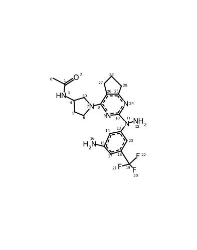 CC(=O)NC1CCN(c2nc(N(N)c3cc(N)cc(C(F)(F)F)c3)nc3c2CCC3)C1